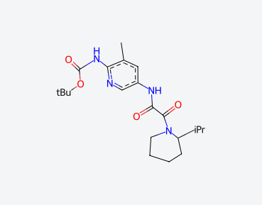 Cc1cc(NC(=O)C(=O)N2CCCCC2C(C)C)cnc1NC(=O)OC(C)(C)C